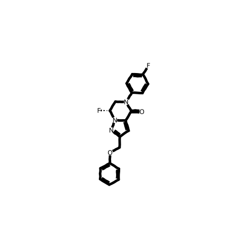 O=C1c2cc(COc3ccccc3)nn2[C@H](F)CN1c1ccc(F)cc1